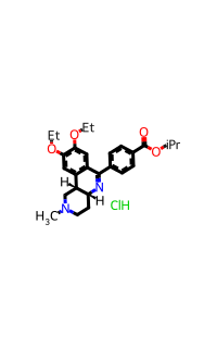 CCOc1cc2c(cc1OCC)[C@H]1CN(C)CC[C@H]1N=C2c1ccc(C(=O)OC(C)C)cc1.Cl